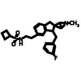 CN1C2C1C21Cc2ccc(CCNS(=O)(=O)C3CCC3)cc2C1Cc1cccc(F)c1